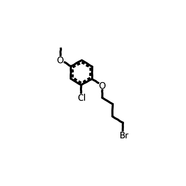 COc1ccc(OCCCCBr)c(Cl)c1